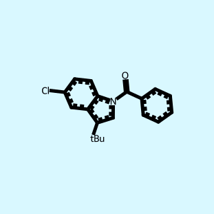 CC(C)(C)c1cn(C(=O)c2ccccc2)c2ccc(Cl)cc12